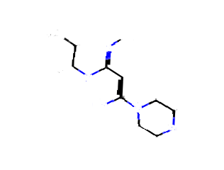 C/N=C(\C=C(/N)N1CCNCC1)N[C@H](C)COC